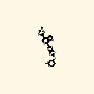 C[C@H]1CC(Oc2nc3sc(-c4ncc(-c5nnn(C)n5)c5cc[nH]c45)nc3s2)CCN1